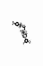 COc1cc(F)cc(N2C[C@H](C)N(S(=O)(=O)NCC(C)CNS(=O)(=O)c3ccc(N(C)C)cc3)[C@@H](C)C2)c1